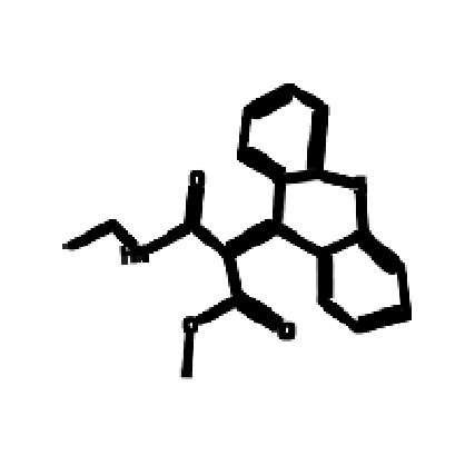 [CH2]CNC(=O)C(C(=O)OC)=C1c2ccccc2Sc2ccccc21